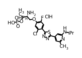 Cc1cc(-c2nnc(-c3cc(F)c(OC[C@@H](N)[C@H](C)OP(=O)(O)O)cc3Cl)s2)cc(NC(C)C)n1.Cl